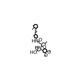 COc1ccc(C(CC(=O)O)NC(=O)C(CC(=O)Nc2ccc(CSc3ccccc3C)cc2)CC(C)C)cc1OC